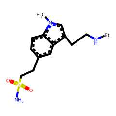 CCNCCc1cn(C)c2ccc(CCS(N)(=O)=O)cc12